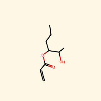 C=CC(=O)OC(CCC)C(C)O